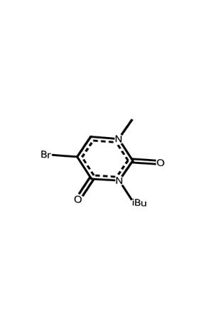 CCC(C)n1c(=O)c(Br)cn(C)c1=O